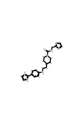 O=C(OCc1nccs1)N1CCC(CCOc2ccc(-c3nccs3)cc2)CC1